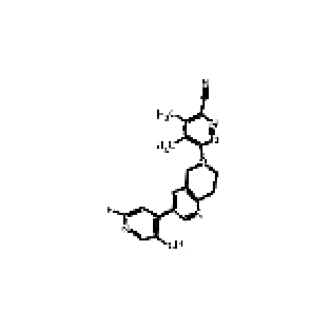 Cc1cnc(F)cc1-c1cnc2c(c1)CN(c1nnc(C#N)c(C)c1C)CC2